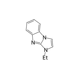 CCn1ccn2c3ccccc3nc12